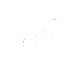 COc1nc(N[S+]([O-])c2ccccc2Cl)ccc1B1OC(C)(C)C(C)(C)O1